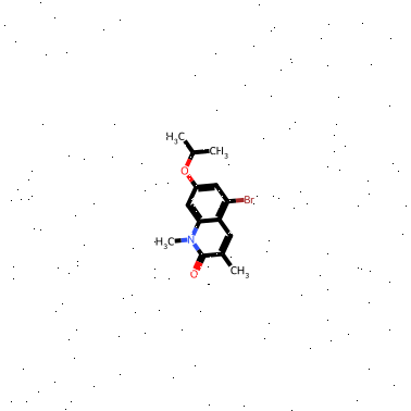 Cc1cc2c(Br)cc(OC(C)C)cc2n(C)c1=O